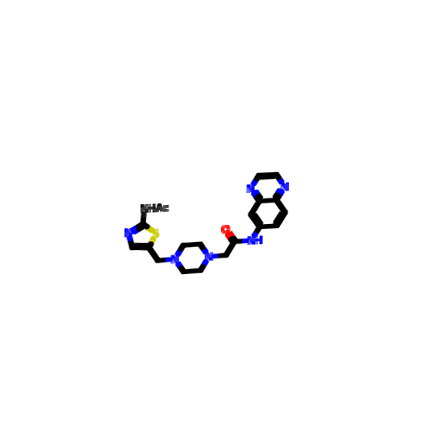 CC(=O)Nc1ncc(CN2CCN(CC(=O)Nc3ccc4nccnc4c3)CC2)s1